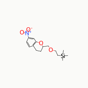 C[Si](C)(C)CCOCC1CCc2ccc([N+](=O)[O-])cc2O1